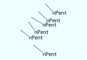 CCCCCC.CCCCCC.CCCCCC.CCCCCC.CCCCCC.CCCCCC